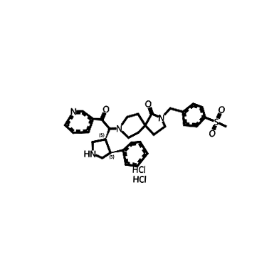 CS(=O)(=O)c1ccc(CN2CCC3(CCN(C(C(=O)c4cccnc4)[C@@H]4CNC[C@@H]4c4ccccc4)CC3)C2=O)cc1.Cl.Cl